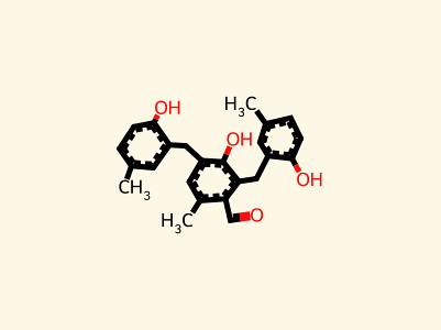 Cc1ccc(O)c(Cc2cc(C)c(C=O)c(Cc3cc(C)ccc3O)c2O)c1